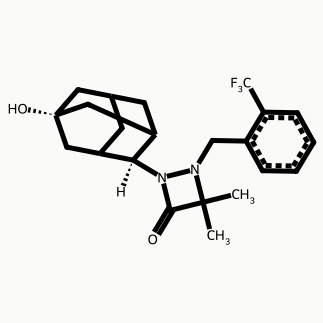 CC1(C)C(=O)N([C@H]2C3CC4CC2C[C@](O)(C4)C3)N1Cc1ccccc1C(F)(F)F